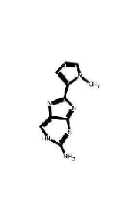 Cn1cccc1-c1nc2c[nH]c(N)nc-2n1